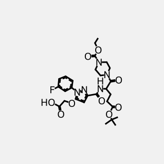 CCOC(=O)N1CCN(C(=O)C(CCC(=O)OC(C)(C)C)NC(=O)c2cc(OCC(=O)O)n(-c3cccc(F)c3)n2)CC1